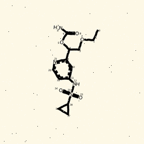 CCOCC(OC(N)=O)c1cc(NS(=O)(=O)C2CC2)ccn1